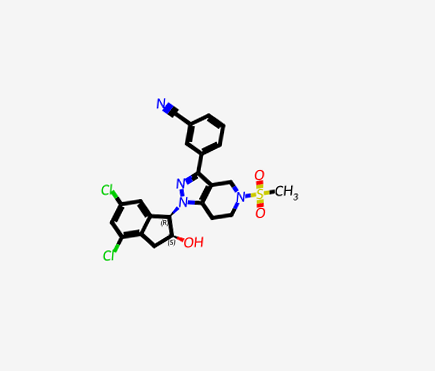 CS(=O)(=O)N1CCc2c(c(-c3cccc(C#N)c3)nn2[C@@H]2c3cc(Cl)cc(Cl)c3C[C@@H]2O)C1